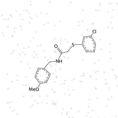 COc1ccc(CNC(=O)CSc2cccc(Cl)c2)cc1